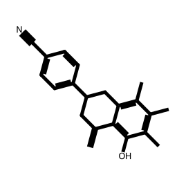 C=C1CC(c2ccc(C#N)cc2)Cc2c(C)c(C)c(C)c(O)c21